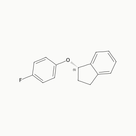 Fc1ccc(O[C@H]2CCc3ccccc32)cc1